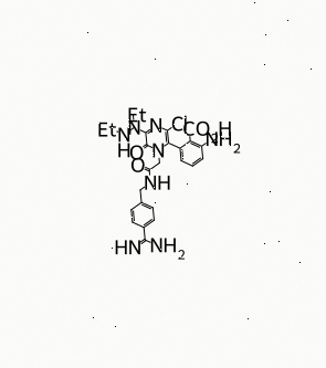 CCNN(CC)c1nc(Cl)c(-c2cccc(N)c2C(=O)O)n(CC(=O)NCc2ccc(C(=N)N)cc2)c1=O